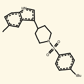 Cc1ccc2[nH]cc(C3CCN(S(=O)(=O)c4ccc(C(C)(C)C)cc4)CC3)c2c1